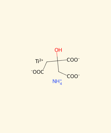 O=C([O-])CC(O)(CC(=O)[O-])C(=O)[O-].[NH4+].[Ti+2]